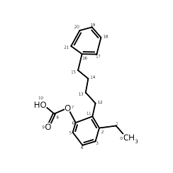 CCc1cccc(OC(=O)O)c1CCCCc1ccccc1